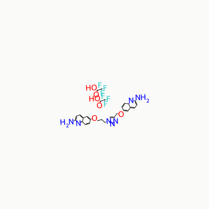 Nc1ccc2cc(OCCCn3cc(COc4ccc5nc(N)ccc5c4)nn3)ccc2n1.O=C(O)C(F)(F)F.O=C(O)C(F)(F)F